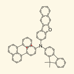 CC1(C)c2ccccc2-c2ccc(N(c3ccc(-c4cccc5cccc(-c6ccccc6)c45)cc3)c3ccc4c(c3)oc3cc5ccccc5cc34)cc21